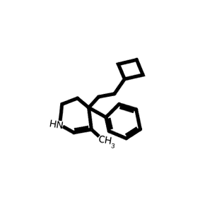 CC1=CNCCC1(CCC1CCC1)c1ccccc1